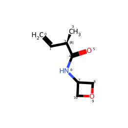 C=C[C@@H](C)C(=O)NC1COC1